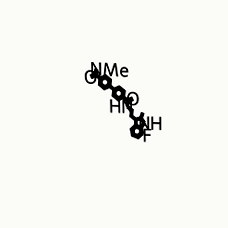 CNC(=O)c1ccc(-c2ccc(C(=O)NCCC3c4cccc(F)c4NC3C)cc2)cc1